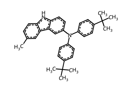 Cc1ccc2[nH]c3ccc(N(c4ccc(C(C)(C)C)cc4)c4ccc(C(C)(C)C)cc4)cc3c2c1